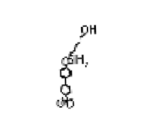 O=[N+]([O-])c1ccc(-c2ccc(O[SiH2]CCCCCCO)cc2)cc1